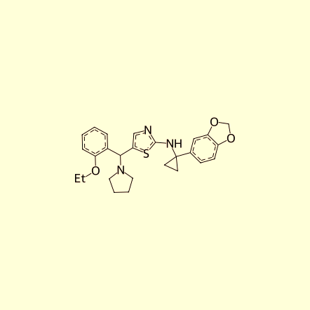 CCOc1ccccc1C(c1cnc(NC2(c3ccc4c(c3)OCO4)CC2)s1)N1CCCC1